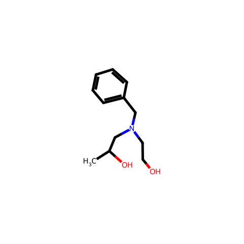 CC(O)CN(CCO)Cc1ccccc1